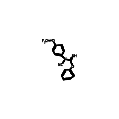 N#CN(C(=N)Oc1ccccc1)c1ccc(OC(F)(F)F)cc1